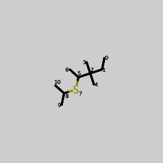 CCC(C)(C)C(C)SC(C)C